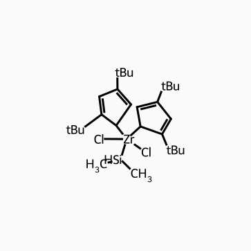 C[SiH](C)[Zr]([Cl])([Cl])([CH]1C=C(C(C)(C)C)C=C1C(C)(C)C)[CH]1C=C(C(C)(C)C)C=C1C(C)(C)C